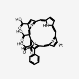 O=C(O)C1=Cc2cc3ccc(cc4nc(cc5c(-c6ccccc6)c(C(=O)O)c(c(C(=O)O)c1n2)n5C(=O)O)C=C4)[nH]3.[Pt]